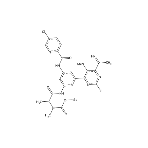 CNc1c(C(C)=N)nc(Cl)nc1-c1cc(NC(=O)c2ccc(Cl)cn2)nc(NC(=O)C(C)N(C)C(=O)OC(C)(C)C)c1